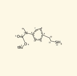 CN(C(=O)OC(C)(C)C)c1ccc(CC[SiH3])cc1